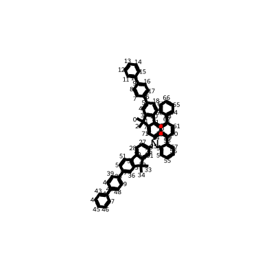 CC1(C)c2cc(-c3ccc(-c4ccccc4)cc3)ccc2-c2ccc(N(c3ccc4c(c3)C(C)(C)c3cc(-c5ccc(-c6ccccc6)cc5)ccc3-4)c3ccccc3-c3ccc(-c4ccccc4)cc3)cc21